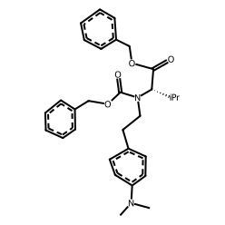 CC(C)[C@@H](C(=O)OCc1ccccc1)N(CCc1ccc(N(C)C)cc1)C(=O)OCc1ccccc1